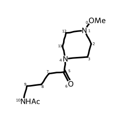 CON1CCN(C(=O)CCCNC(C)=O)CC1